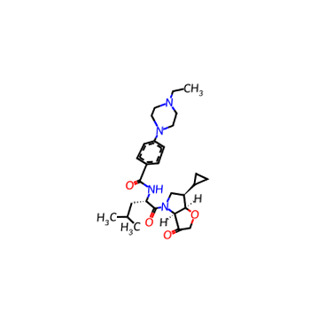 CCN1CCN(c2ccc(C(=O)N[C@@H](CC(C)C)C(=O)N3C[C@@H](C4CC4)[C@H]4OCC(=O)[C@H]43)cc2)CC1